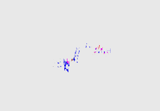 C#Cc1cccc2cccc(-c3ncc4c(N5CC6CCC(C5)N6)nc(OC[C@H]5C[C@@H](N6CCN(CC7CCC(Nc8ccc9c(c8)C(=O)N(C8CCC(=O)NC8=O)C9=O)CC7)CC6)CN5C)nc4c3F)c12